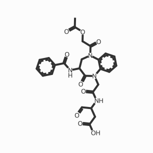 CC(=O)OCC(=O)N1CC(NC(=O)c2ccccc2)C(=O)N(CC(=O)NC(C=O)CC(=O)O)c2ccccc21